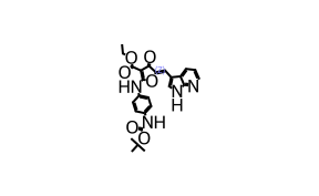 CCOC(=O)C1=C(Nc2ccc(NC(=O)OC(C)(C)C)cc2)O/C(=C\c2c[nH]c3ncccc23)C1=O